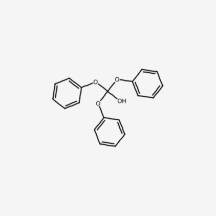 OC(Oc1ccccc1)(Oc1ccccc1)Oc1ccccc1